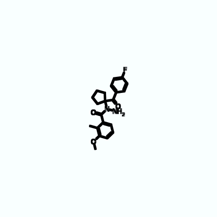 COc1cccc(C(=O)N(N)C2(C(=O)c3ccc(F)cc3)CCCC2)c1C